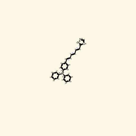 C(=C\C=C\c1nnco1)/C=C/c1ccc(N(c2ccccc2)c2ccccc2)cc1